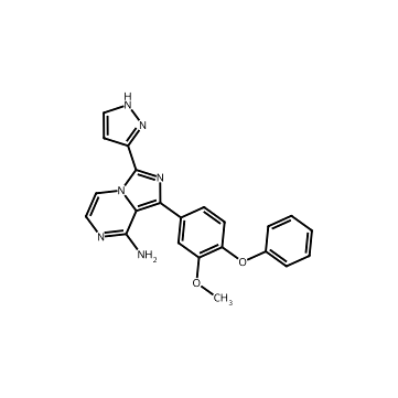 COc1cc(-c2nc(-c3cc[nH]n3)n3ccnc(N)c23)ccc1Oc1ccccc1